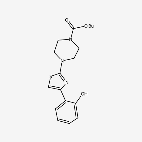 CC(C)COC(=O)N1CCN(c2nc(-c3ccccc3O)cs2)CC1